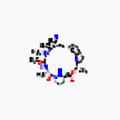 C=C1N[C@@H](C(C)C)C(=O)N[C@@H](C)C(=O)N2CCC[C@H](N2)C(=O)O[C@H](C)c2ccc3ccc(cc3n2)/C=C/C1(C)C#N